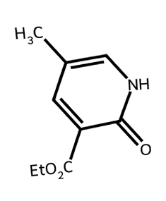 CCOC(=O)c1cc(C)c[nH]c1=O